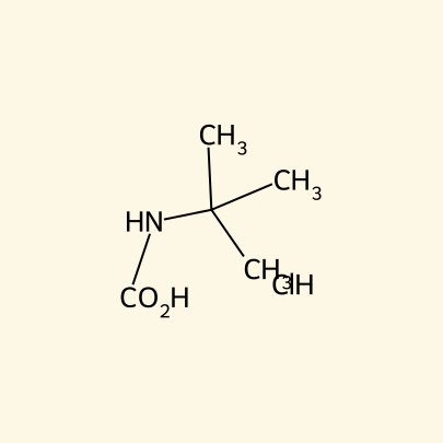 CC(C)(C)NC(=O)O.Cl